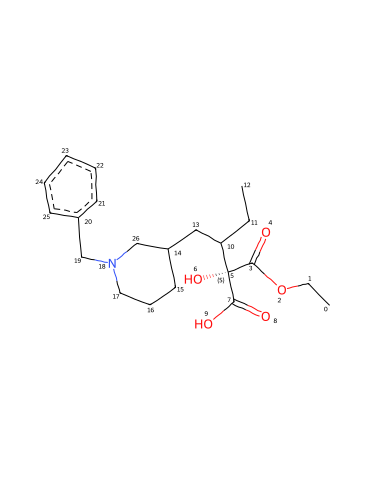 CCOC(=O)[C@@](O)(C(=O)O)C(CC)CC1CCCN(Cc2ccccc2)C1